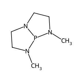 CN1CCN2CCN(C)P12